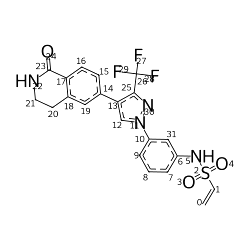 C=CS(=O)(=O)Nc1cccc(-n2cc(-c3ccc4c(c3)CCNC4=O)c(C(F)(F)F)n2)c1